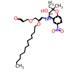 CCCCCCCCCCCCOC(=CN[C@@H]1c2cc([N+](=O)[O-])ccc2OC(C)(C)[C@H]1O)COCC=C=O